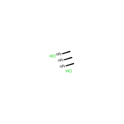 CCCC.CCCC.CCCC.Cl.Cl